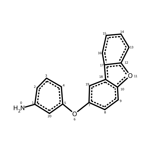 Nc1cccc(Oc2ccc3oc4ccccc4c3c2)c1